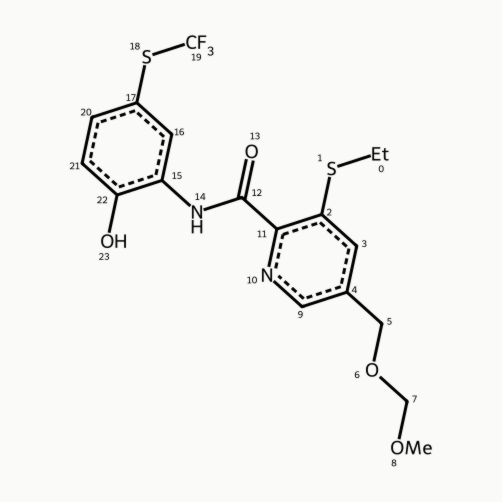 CCSc1cc(COCOC)cnc1C(=O)Nc1cc(SC(F)(F)F)ccc1O